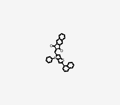 O=C1C(=Cc2cc3sc(-c4cccc5ccccc45)cc3n2-c2ccccc2)C(=O)c2cc3ccccc3cc21